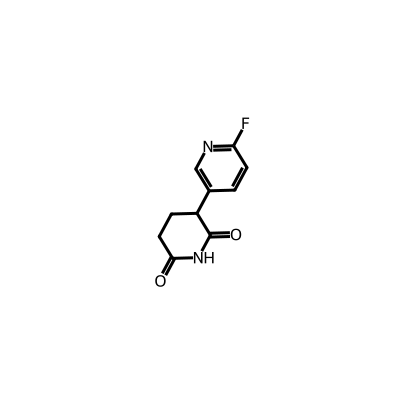 O=C1CCC(c2ccc(F)nc2)C(=O)N1